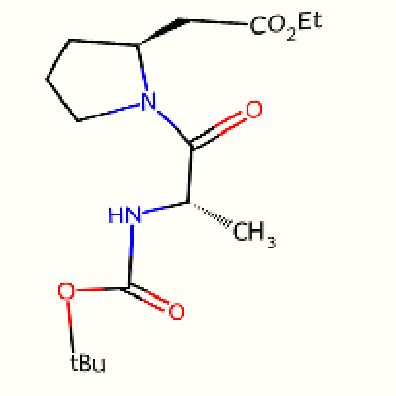 CCOC(=O)C[C@@H]1CCCN1C(=O)[C@H](C)NC(=O)OC(C)(C)C